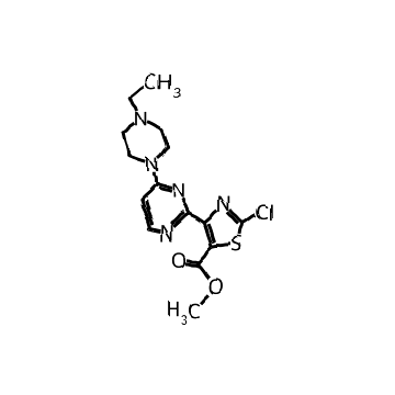 CCN1CCN(c2ccnc(-c3nc(Cl)sc3C(=O)OC)n2)CC1